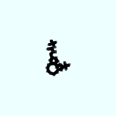 CC(C)(C)OC(=O)NCc1ccc2c(c1)OCCOCCn1cc(C(F)(F)F)nc1-2